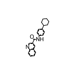 O=C(Nc1ccc(C2CCCCC2)cc1)c1cnc2ccccc2c1